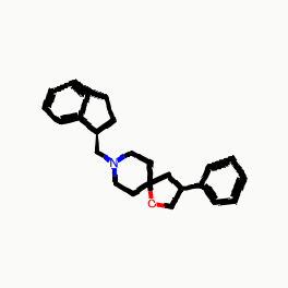 c1ccc(C2COC3(CCN(C[C@@H]4CCc5ccccc54)CC3)C2)cc1